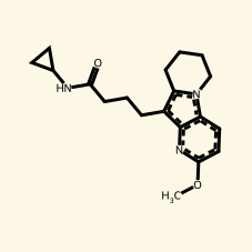 COc1ccc2c(n1)c(CCCC(=O)NC1CC1)c1n2CCCC1